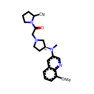 COc1cccc2cc(N(C)[C@H]3CCN(CC(=O)N4CCCC4C#N)C3)cnc12